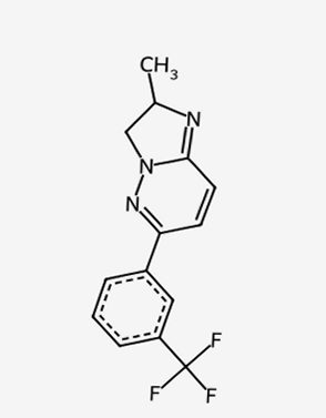 CC1CN2N=C(c3cccc(C(F)(F)F)c3)C=CC2=N1